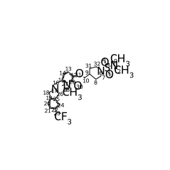 CN(C)S(=O)(=O)N1CCC(COc2ccc(CN3Cc4ccc(C(F)(F)F)cc4C3)n(C)c2=O)CC1